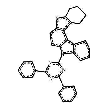 c1ccc(-c2nc(-c3ccccc3)nc(-n3c4ccccc4c4c5c6c(sc5ccc43)CCCC6)n2)cc1